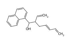 C=CC=CCC(C=C)C(O)c1cccc2ccccc12